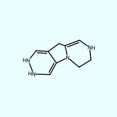 C1=C2CC3=CNCCN3C2=CNN1